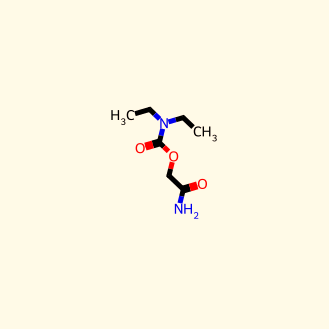 CCN(CC)C(=O)OCC(N)=O